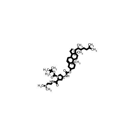 CC(C)CCC[C@@H](C)[C@H]1CCC2C3CC=C4CC(OC(=O)N[C@H]5CC(C(=O)NCCN(C)C)N(C(=O)OC(C)(C)C)C5)CC[C@]4(C)C3CC[C@@]21C